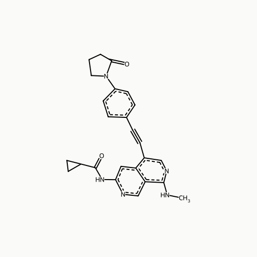 CNc1ncc(C#Cc2ccc(N3CCCC3=O)cc2)c2cc(NC(=O)C3CC3)ncc12